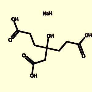 O=C(O)CCC(O)(CCC(=O)O)CC(=O)O.[NaH]